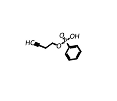 C#CCCOP(=O)(O)c1ccccc1